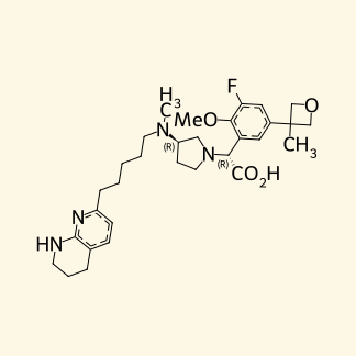 COc1c(F)cc(C2(C)COC2)cc1[C@H](C(=O)O)N1CC[C@@H](N(C)CCCCCc2ccc3c(n2)NCCC3)C1